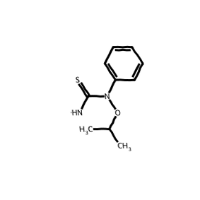 CC(C)ON(C([NH])=S)c1ccccc1